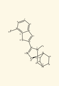 CN1C(c2cc3cccc(F)c3s2)=NO[C@@]12CN1CCC2CC1